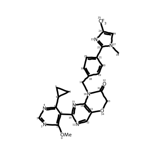 COc1ncnc(C2CC2)c1-c1ncc2c(n1)N(Cc1ccc(-c3nc(C(F)(F)F)cn3C)cc1)C(=O)CO2